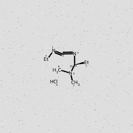 CCN=C=N[C@@H](CC)N(C)C.Cl